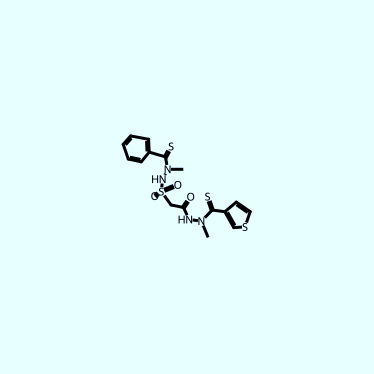 CN(NC(=O)CS(=O)(=O)NN(C)C(=S)c1ccccc1)C(=S)c1ccsc1